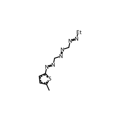 CCN=NCN=NCN=Nc1ccc(C)s1